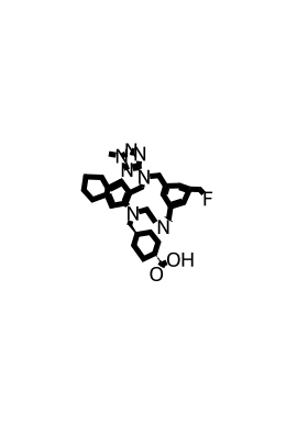 CCN(C[C@H]1CC[C@H](C(=O)O)CC1)c1cc2c(cc1CN(Cc1cc(C#N)cc(CF)c1)c1nnn(C)n1)CCCC2